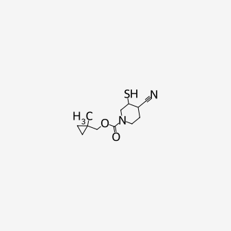 CC1(COC(=O)N2CCC(C#N)C(S)C2)CC1